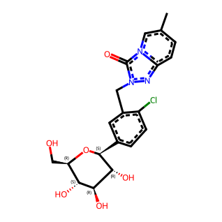 Cc1ccc2nn(Cc3cc([C@@H]4O[C@H](CO)[C@@H](O)[C@H](O)[C@H]4O)ccc3Cl)c(=O)n2c1